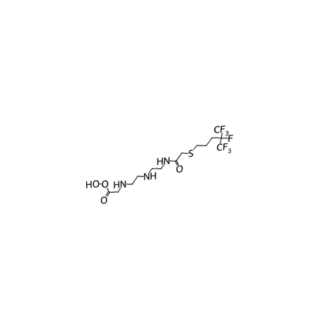 O=C(CSCCCC(F)(C(F)(F)F)C(F)(F)F)NCCNCCNCC(=O)OO